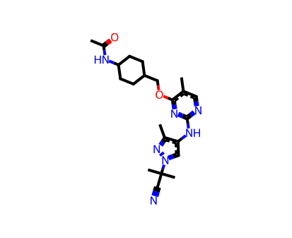 CC(=O)NC1CCC(COc2nc(Nc3cn(C(C)(C)C#N)nc3C)ncc2C)CC1